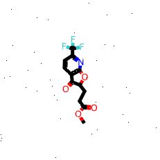 COC(=O)CCC1Oc2nc(C(F)(F)F)ccc2C1=O